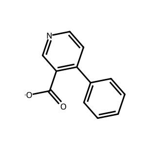 [O]C(=O)c1cnccc1-c1ccccc1